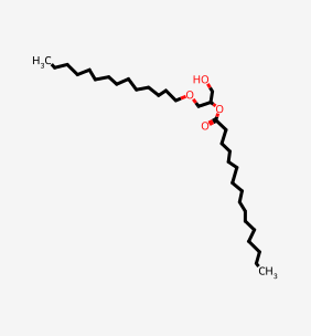 CCCCCCCCCCCCCCCC(=O)OC(CO)COCCCCCCCCCCCCCC